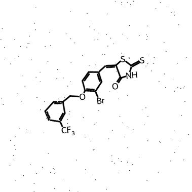 O=C1NC(=S)SC1=Cc1ccc(OCc2cccc(C(F)(F)F)c2)c(Br)c1